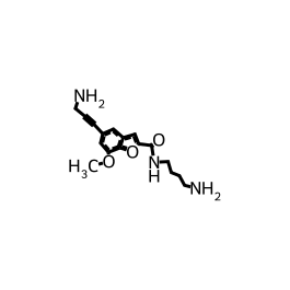 COc1cc(C#CCN)cc2cc(C(=O)NCCCCN)oc12